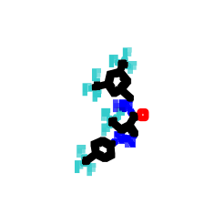 O=C(NCc1cc(C(F)(F)F)cc(C(F)(F)F)c1)c1cnn(-c2ccc(C(F)(F)F)cc2)c1C(F)(F)F